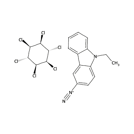 CCn1c2ccccc2c2cc([N+]#N)ccc21.Cl[C@H]1[C@H](Cl)[C@@H](Cl)[C@@H](Cl)[C@H](Cl)[C@H]1Cl